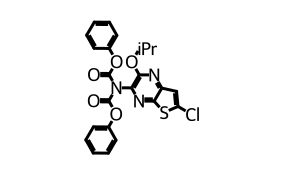 CC(C)Oc1nc2cc(Cl)sc2nc1N(C(=O)Oc1ccccc1)C(=O)Oc1ccccc1